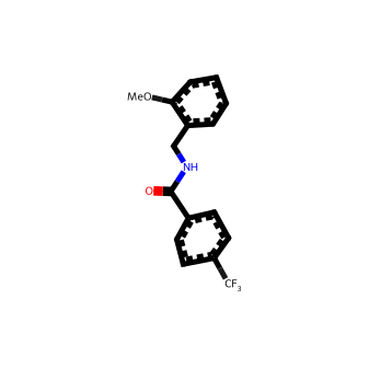 COc1ccccc1CNC(=O)c1ccc(C(F)(F)F)cc1